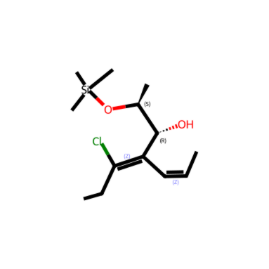 C/C=C\C(=C(\Cl)CC)[C@@H](O)[C@H](C)O[Si](C)(C)C